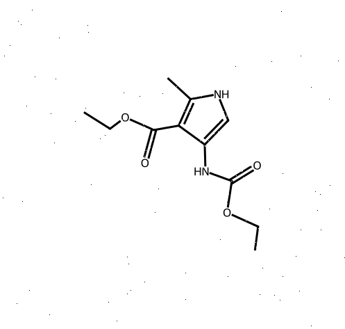 CCOC(=O)Nc1c[nH]c(C)c1C(=O)OCC